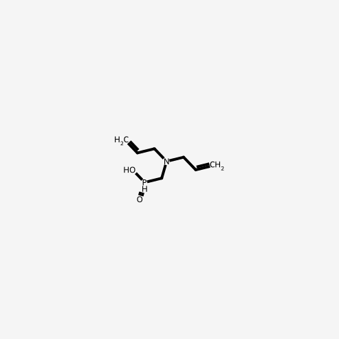 C=CCN(CC=C)C[PH](=O)O